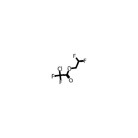 O=C(OCC(F)F)C(F)(F)Cl